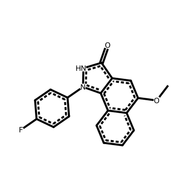 COc1cc2c(=O)[nH]n(-c3ccc(F)cc3)c2c2ccccc12